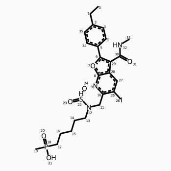 CCc1ccc(-c2oc3nc(CN(CCCCCP(C)(=O)O)[SH](=O)=O)c(I)cc3c2C(=O)NC)cc1